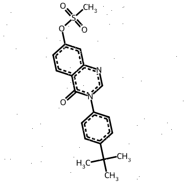 CC(C)(C)c1ccc(-n2cnc3cc(OS(C)(=O)=O)ccc3c2=O)cc1